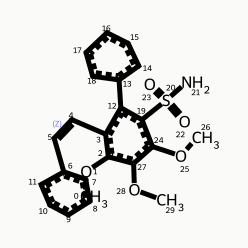 COc1c(/C=C\c2ccccc2)c(-c2ccccc2)c(S(N)(=O)=O)c(OC)c1OC